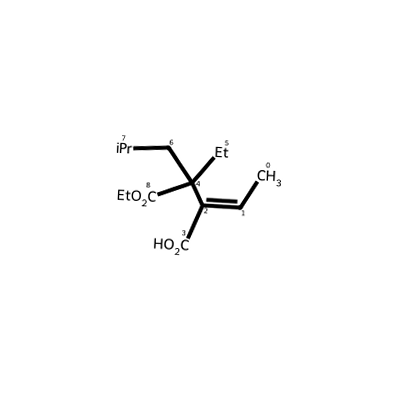 CC=C(C(=O)O)C(CC)(CC(C)C)C(=O)OCC